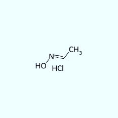 C/C=N/O.Cl